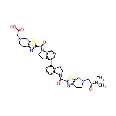 CN(C)C(=O)CN1CCc2nc(C(=O)N3CCc4c(-c5cccc6c5CCN6C(=O)c5nc6c(s5)CN(CC(=O)O)CC6)cccc43)sc2C1